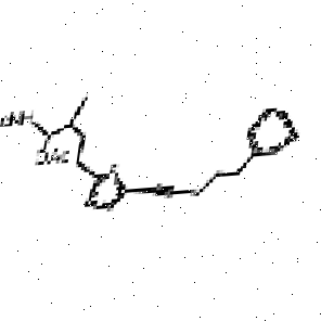 CC(=O)NC(OC(C)=O)C(C)CCc1ccc(C#CCCCc2ccccc2)s1